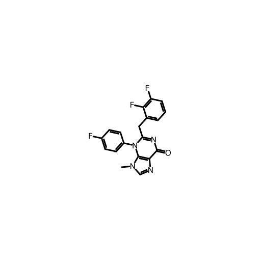 Cn1cnc2c(=O)nc(Cc3cccc(F)c3F)n(-c3ccc(F)cc3)c21